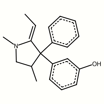 CC=C1N(C)CC(C)C1(c1ccccc1)c1cccc(O)c1